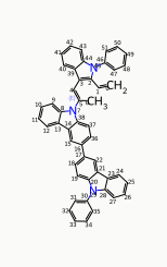 C=Cc1c(/C=C(\C)n2c3ccccc3c3cc(-c4ccc5c(c4)c4ccccc4n5-c4ccccc4)ccc32)c2ccccc2n1-c1ccccc1